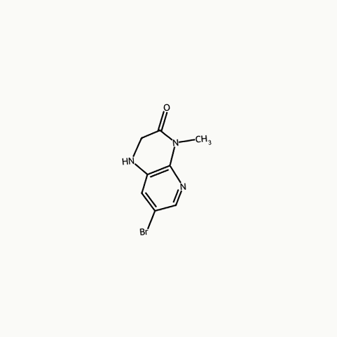 CN1C(=O)CNc2cc(Br)cnc21